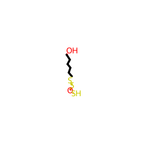 OCCCCCCSSOS